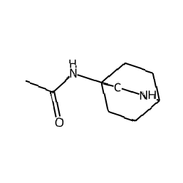 CC(=O)NC12CCC(CC1)NC2